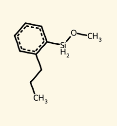 CCCc1ccccc1[SiH2]OC